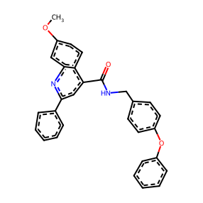 COc1ccc2c(C(=O)NCc3ccc(Oc4ccccc4)cc3)cc(-c3ccccc3)nc2c1